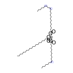 CCCCC/C=C\C/C=C\CCCCCCCCCCCC(=O)OC[C@H](COC(=O)CCCCCCCCC/C=C\CCCCCC)OC(=O)CCCCCCCCCCCCCCCCCCC